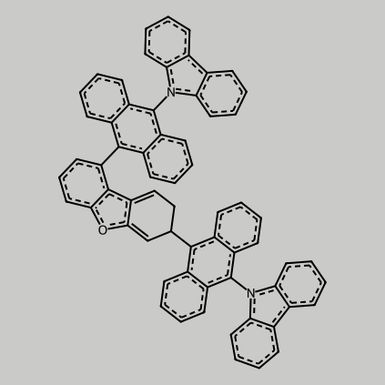 C1=c2oc3cccc(-c4c5ccccc5c(-n5c6ccccc6c6ccccc65)c5ccccc45)c3c2=CCC1c1c2ccccc2c(-n2c3ccccc3c3ccccc32)c2ccccc12